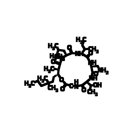 CCCC(C)(C)CC[C@H]1OC(=O)CNC(=O)[C@H](C(C)O)NC(=O)[C@H](CN)NC(=O)[C@H](C(C)CC)NC(=O)[C@H](CC(C)C)N(C)C(=O)[C@@H]1C